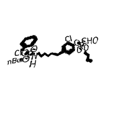 C=CCCOP(=O)(C=O)Oc1ccc(CCCCCCNP(=O)(OCCCC)Oc2ccccc2Cl)cc1Cl